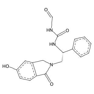 O=CNC(=O)N[C@@H](CN1Cc2cc(O)ccc2C1=O)c1ccccc1